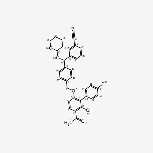 CC(=O)c1ccc(OCc2ccc(C(OC3CCCCO3)c3cccc(C#N)c3)cc2)c(-c2ccc(F)cc2)c1O